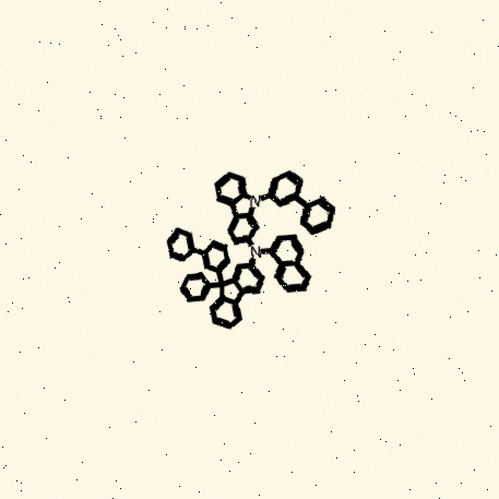 c1ccc(-c2cccc(-n3c4ccccc4c4ccc(N(c5ccc6c(c5)C(c5ccccc5)(c5cccc(-c7ccccc7)c5)c5ccccc5-6)c5cccc6ccccc56)cc43)c2)cc1